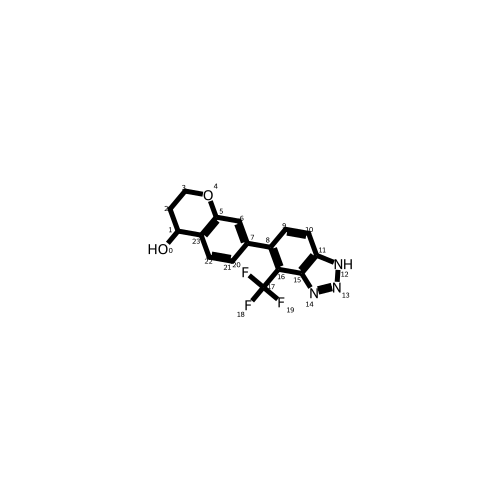 OC1CCOc2cc(-c3ccc4[nH]nnc4c3C(F)(F)F)ccc21